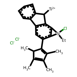 CC[Si]1(Cl)c2c(C3=C(C)C(C)=C(C)C3C)cc3c(c21)[CH]([Ti+2])c1ccccc1-3.[Cl-].[Cl-]